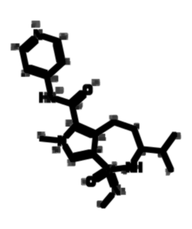 CN=S1(=O)NC(C(C)C)CCc2c1cn(C)c2C(=O)Nc1ccncc1